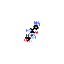 COc1nc(NC2[C@H]3COC[C@@H]23)nc2[nH]cc(-c3ccc4nnn(C)c4c3)c12